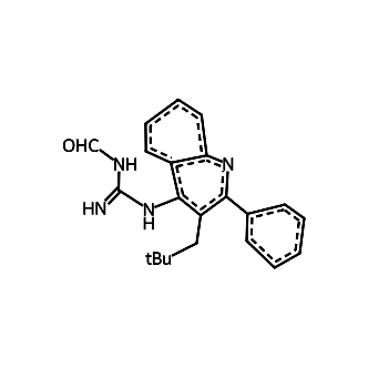 CC(C)(C)Cc1c(-c2ccccc2)nc2ccccc2c1NC(=N)NC=O